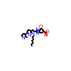 CCCCCCCn1c(-c2nc3cc(C(=O)OC)cc(OC)c3n2C)cc2ccc(-c3cccnc3C)nc21